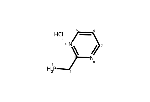 Cl.PCc1ncccn1